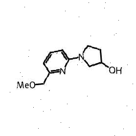 COCc1cccc(N2CCC(O)C2)n1